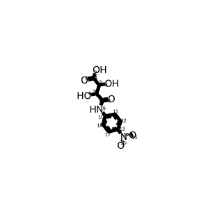 O=C(O)C(O)C(O)C(=O)Nc1ccc([N+](=O)[O-])cc1